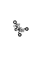 O=C(N[C@@H](Cc1ccccc1)C(=O)N1CCCC1C(=O)C(=O)NC1CCCCC1)OCc1ccccc1